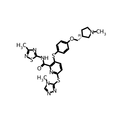 Cc1nsc(NC(=O)c2nc(Sc3nncn3C)ccc2Sc2ccc(OC[C@@H]3CCN(C)C3)cc2)n1